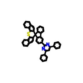 c1ccc(-c2cc(-c3ccccc3)nc(-c3ccc4c(c3)-c3ccccc3C43c4ccc5ccccc5c4Sc4c3ccc3ccccc43)n2)cc1